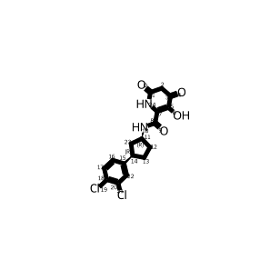 O=C1CC(=O)C(O)=C(C(=O)N[C@@H]2CC[C@@H](c3ccc(Cl)c(Cl)c3)C2)N1